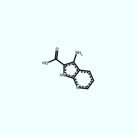 Nc1c(C(=O)O)[nH]c2ncccc12